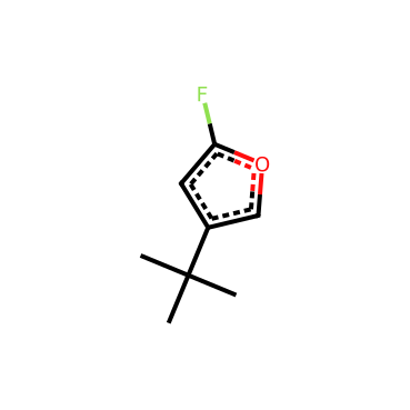 CC(C)(C)c1coc(F)c1